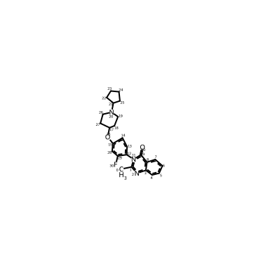 Cc1nc2ccccc2c(=O)n1-c1ccc(OC2CCN(C3CCCC3)CC2)cc1F